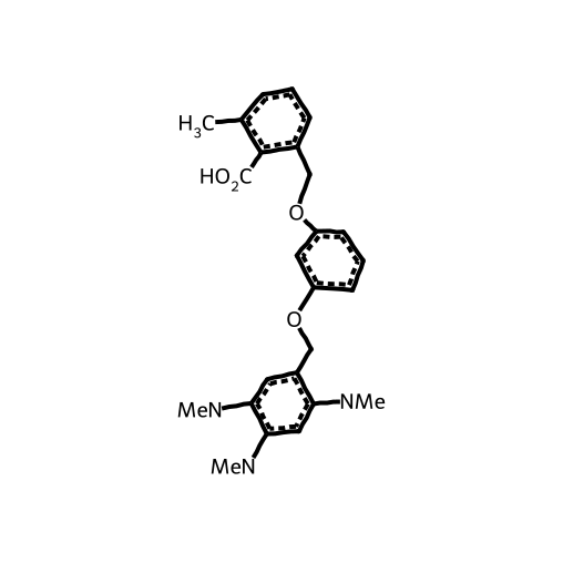 CNc1cc(NC)c(NC)cc1COc1cccc(OCc2cccc(C)c2C(=O)O)c1